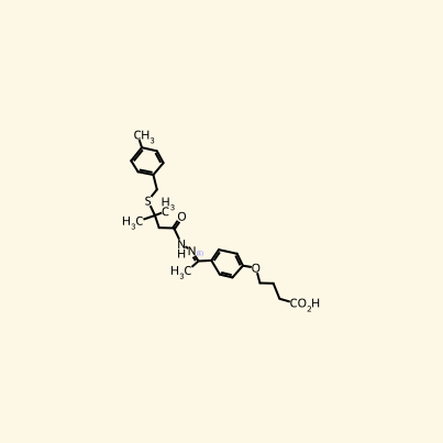 C/C(=N\NC(=O)CC(C)(C)SCc1ccc(C)cc1)c1ccc(OCCCC(=O)O)cc1